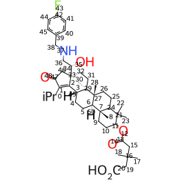 CC(C)C1=C2[C@H]3CC[C@@H]4[C@@]5(C)CC[C@H](OC(=O)CC(C)(C)CC(=O)O)C(C)(C)C5CC[C@@]4(C)[C@]3(C)CC[C@@]2([C@@H](O)CNCc2ccc(F)cc2)CC1=O